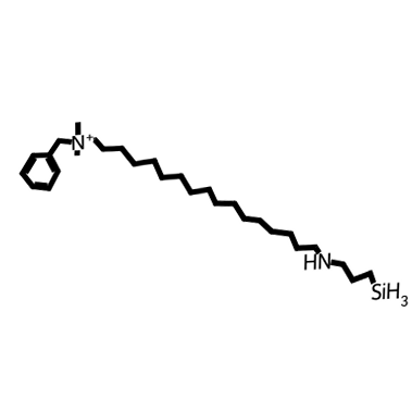 C[N+](C)(CCCCCCCCCCCCCCCCCNCCC[SiH3])Cc1ccccc1